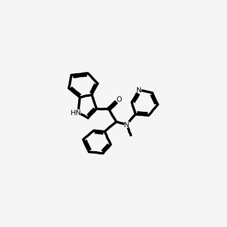 CN(c1cccnc1)C(C(=O)c1c[nH]c2ccccc12)c1ccccc1